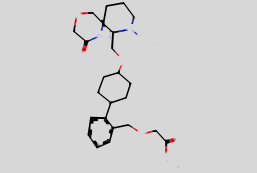 CC(C)(C)OC(=O)COCc1ccccc1C1CCC(OCC2N(C(=O)O)CCCC23COCC(=O)N3)CC1